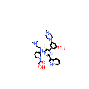 CN(C)CCN(c1nc(-c2cnn3ccccc23)nc(-c2cc(O)cc(N3CCN(C)CC3)c2)c1F)[C@@H]1CCCN(C(=O)CO)C1